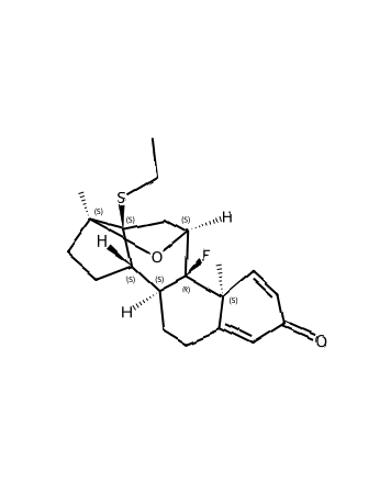 CCS[C@]12C[C@@H]3O[C@@]1(C)CC[C@H]2[C@@H]1CCC2=CC(=O)C=C[C@]2(C)[C@@]31F